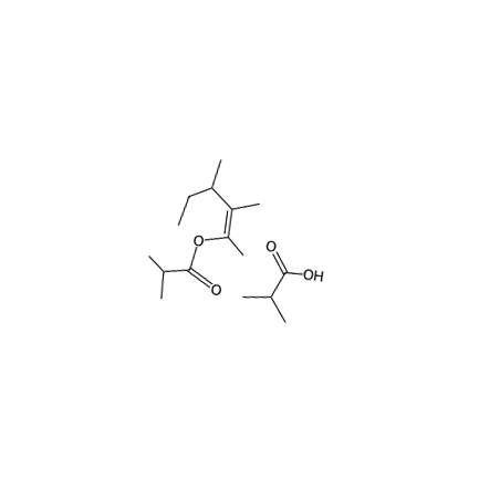 CC(C)C(=O)O.CCC(C)C(C)=C(C)OC(=O)C(C)C